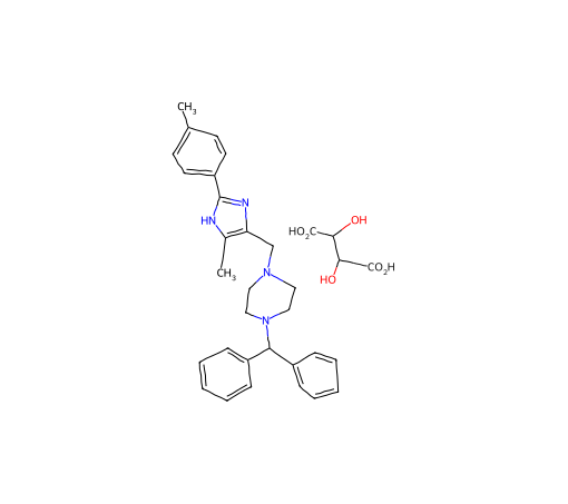 Cc1ccc(-c2nc(CN3CCN(C(c4ccccc4)c4ccccc4)CC3)c(C)[nH]2)cc1.O=C(O)C(O)C(O)C(=O)O